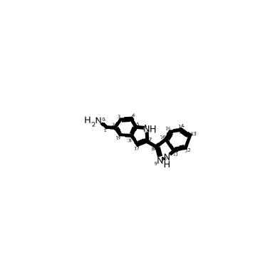 NCc1ccc2[nH]c(-c3n[nH]c4ccccc34)cc2c1